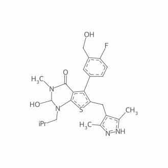 Cc1n[nH]c(C)c1Cc1sc2c(c1-c1ccc(F)c(CO)c1)C(=O)N(C)C(O)N2CC(C)C